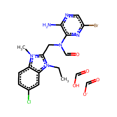 CCn1c(CN(C=O)c2nc(Br)cnc2N)[n+](C)c2ccc(Cl)cc21.O=CO.O=C[O-]